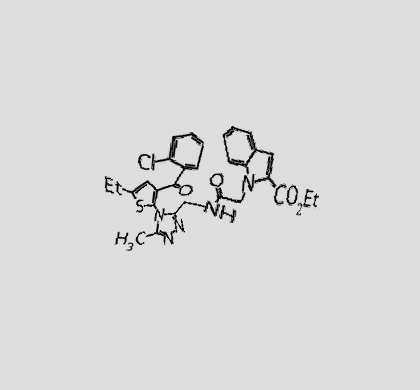 CCOC(=O)c1cc2ccccc2n1CC(=O)NCc1nnc(C)n1-c1sc(CC)cc1C(=O)c1ccccc1Cl